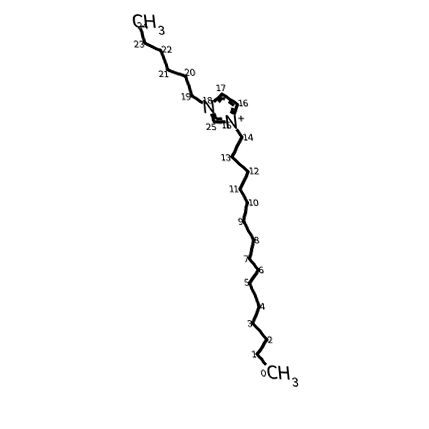 CCCCCCCCCCCCCCC[n+]1ccn(CCCCCC)c1